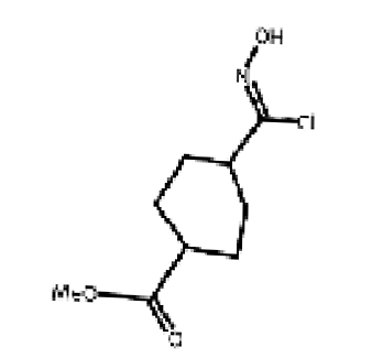 COC(=O)C1CCC(/C(Cl)=N/O)CC1